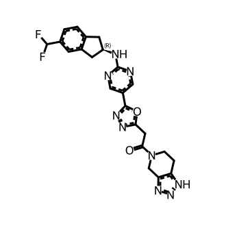 O=C(Cc1nnc(-c2cnc(N[C@@H]3Cc4ccc(C(F)F)cc4C3)nc2)o1)N1CCc2[nH]nnc2C1